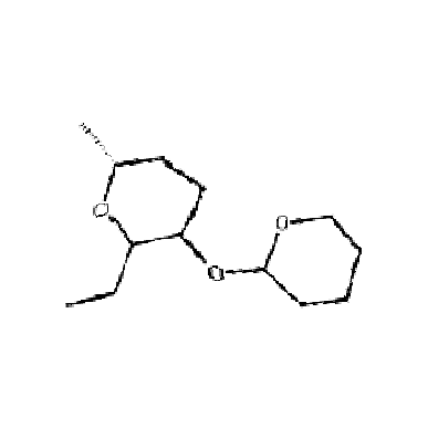 CCC1O[C@H](C)CCC1OC1CCCCO1